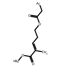 CCCCOC(=O)C(C)=CCCOC(=O)CC(C)=O